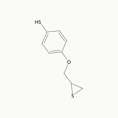 Sc1ccc(OCC2CS2)cc1